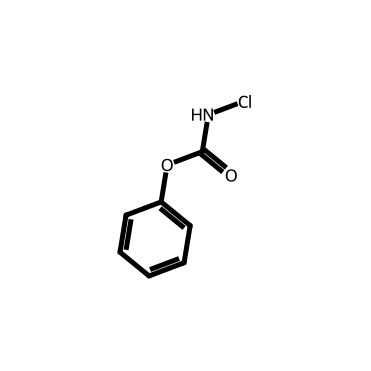 O=C(NCl)Oc1ccccc1